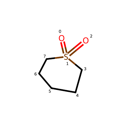 O=S1(=O)CCCCC1